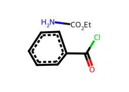 CCOC(N)=O.O=C(Cl)c1ccccc1